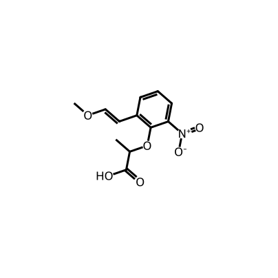 CO/C=C/c1cccc([N+](=O)[O-])c1OC(C)C(=O)O